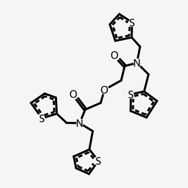 O=C(COCC(=O)N(Cc1cccs1)Cc1cccs1)N(Cc1cccs1)Cc1cccs1